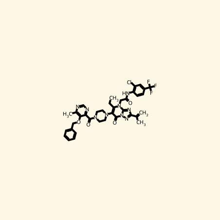 C=C(C)c1nc2n(CC(=O)Nc3ccc(C(F)(F)F)cc3Cl)c(CC)c(N3CCN(C(=O)c4ncnc(C)c4OCc4ccccc4)CC3)c(=O)n2n1